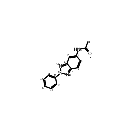 CC(=O)Nc1ccc2nn(-c3ccccc3)nc2c1